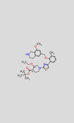 CCO[C@H]1CN(c2nc(-c3cccc(C)c3OCc3cc4c(c(OC)c3)CNCC4)cs2)CC[C@H]1C(=O)OC(C)(C)C